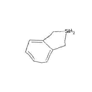 c1ccc2c(c1)C[SiH2]C2